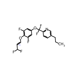 CCCc1ccc(C(F)(F)Oc2cc(F)c(O/C=C/C(F)F)c(F)c2)nc1